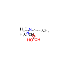 CCCCCCN=C(C)N(C)C.O=C(O)O